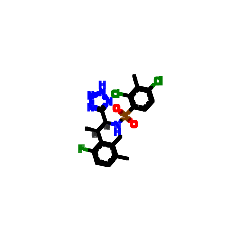 Cc1ccc(F)c([C@@H](C)[C@H](NS(=O)(=O)c2ccc(Cl)c(C)c2Cl)c2nn[nH]n2)c1C